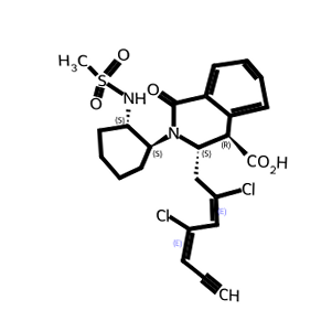 C#C/C=C(Cl)\C=C(\Cl)C[C@H]1[C@H](C(=O)O)c2ccccc2C(=O)N1[C@H]1CCCC[C@@H]1NS(C)(=O)=O